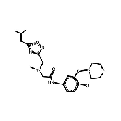 CC(C)Cc1nc(CN(C)CC(=O)Nc2ccc(Cl)c(SN3CCOCC3)c2)no1